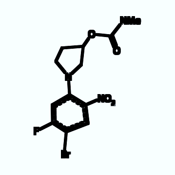 CNC(=O)OC1CCN(c2cc(F)c(Br)cc2[N+](=O)[O-])C1